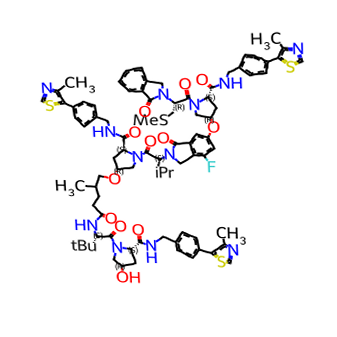 CSC[C@@H](C(=O)N1C[C@H](Oc2cc(F)c3c(c2)C(=O)N([C@H](C(=O)N2C[C@H](OCC(C)CCC(=O)N[C@H](C(=O)N4C[C@H](O)C[C@H]4C(=O)NCc4ccc(-c5scnc5C)cc4)C(C)(C)C)C[C@H]2C(=O)NCc2ccc(-c4scnc4C)cc2)C(C)C)C3)C[C@H]1C(=O)NCc1ccc(-c2scnc2C)cc1)N1Cc2ccccc2C1=O